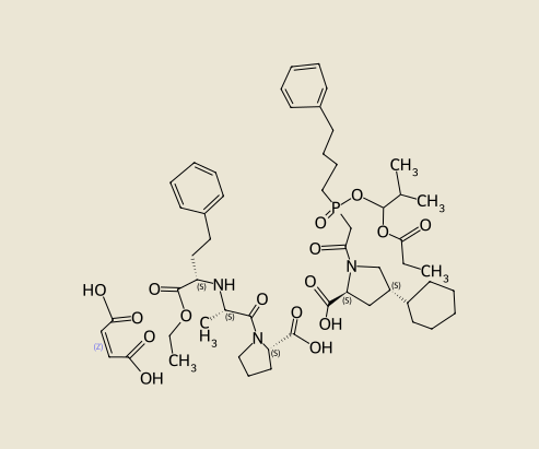 CCC(=O)OC(OP(=O)(CCCCc1ccccc1)CC(=O)N1C[C@H](C2CCCCC2)C[C@H]1C(=O)O)C(C)C.CCOC(=O)[C@H](CCc1ccccc1)N[C@@H](C)C(=O)N1CCC[C@H]1C(=O)O.O=C(O)/C=C\C(=O)O